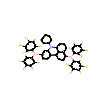 Fc1c(F)c(F)c(B(c2ccc3c(c2)N(c2ccccc2)c2cccc4c(B(c5c(F)c(F)c(F)c(F)c5F)c5c(F)c(F)c(F)c(F)c5F)ccc-3c24)c2c(F)c(F)c(F)c(F)c2F)c(F)c1F